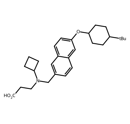 CC(C)(C)C1CCC(Oc2ccc3cc(CN(CCC(=O)O)C4CCC4)ccc3c2)CC1